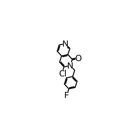 O=c1c2cnccc2cc(Cl)n1Cc1ccc(F)cc1